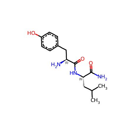 CC(C)C[C@H](NC(=O)[C@@H](N)Cc1ccc(O)cc1)C(N)=O